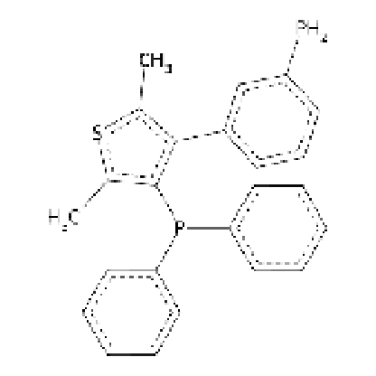 Cc1sc(C)c(P(c2ccccc2)c2ccccc2)c1-c1cccc(P)c1